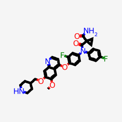 COc1cc2c(Oc3ccc(N(C(=O)C4(C(N)=O)CC4)c4ccc(F)cc4)cc3F)ccnc2cc1OCC1CCNCC1